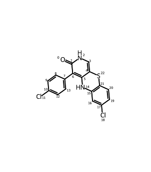 O=c1[nH]cc2c(c1-c1ccc(Cl)cc1)Nc1cc(Cl)ccc1S2